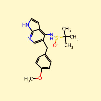 COc1ccc(Cc2cnc3[nH]ccc3c2N[S+]([O-])C(C)(C)C)cc1